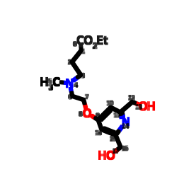 CCOC(=O)CCCN(C)CCOc1cc(CO)nc(CO)c1